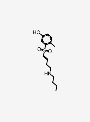 CCCCNCCC=CS(=O)(=O)c1cc(O)ccc1C